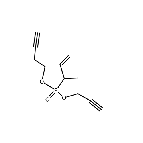 C#CCCOP(=O)(OCC#C)C(C)C=C